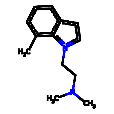 Cc1cccc2ccn(CCN(C)C)c12